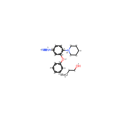 COCCO.N#[N+]c1ccc(N2CCCCC2)c(Oc2ccccc2)c1